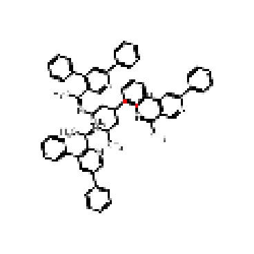 C/C(=N/C(C)CC(CC(C)/N=C(/C)c1cnc(-c2ccccc2)cc1-c1ccccc1)CC(C)/N=C(/C)c1ncc(-c2ccccc2)cc1-c1ccccc1)c1cnc(-c2ccccc2)cc1-c1ccccc1